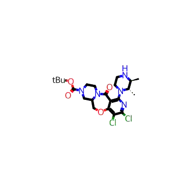 C[C@@H]1NCCN(c2nc(Cl)c(Cl)c3c2C(=O)N2CCN(C(=O)OC(C)(C)C)CC2CO3)[C@H]1C